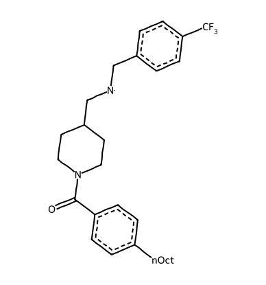 CCCCCCCCc1ccc(C(=O)N2CCC(C[N]Cc3ccc(C(F)(F)F)cc3)CC2)cc1